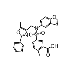 Cc1ccc(S(=O)(=O)N(Cc2nc(-c3ccccc3)oc2C)c2ccc3occc3c2)cc1C(=O)O